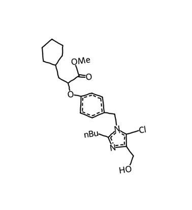 CCCCc1nc(CO)c(Cl)n1Cc1ccc(OC(CC2CCCCC2)C(=O)OC)cc1